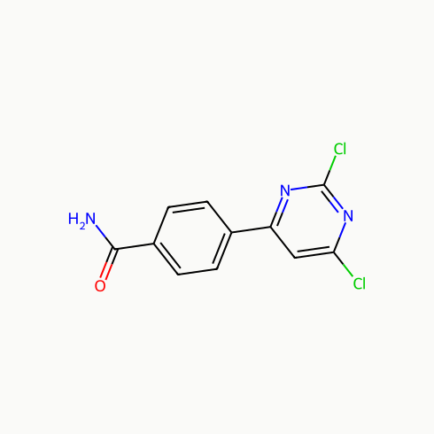 NC(=O)c1ccc(-c2cc(Cl)nc(Cl)n2)cc1